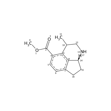 COC(=O)c1ccc2c3c1C(C)CN[C@@H]3CC2